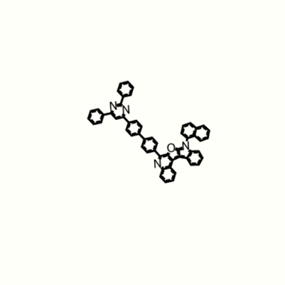 c1ccc(-c2cc(-c3ccc(-c4ccc(-c5nc6ccccc6c6c5oc5c6c6ccccc6n5-c5cccc6ccccc56)cc4)cc3)nc(-c3ccccc3)n2)cc1